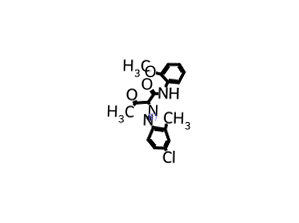 COc1ccccc1NC(=O)C(/N=N/c1ccc(Cl)cc1C)C(C)=O